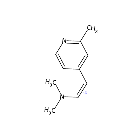 Cc1cc(/C=C\N(C)C)ccn1